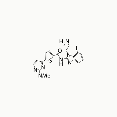 CNc1nccc(-c2ccc(C(=O)Nc3nc4cccc(I)c4n3CCN)s2)n1